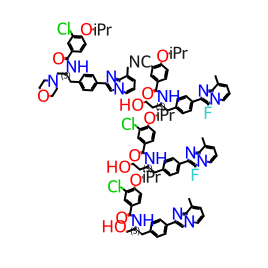 Cc1cccn2c(F)c(-c3ccc(C[C@@H](CCO)NC(=O)c4ccc(OC(C)C)c(C#N)c4)cc3)nc12.Cc1cccn2c(F)c(-c3ccc(C[C@@H](CCO)NC(=O)c4ccc(OC(C)C)c(Cl)c4)cc3)nc12.Cc1cccn2cc(-c3ccc(C[C@@H](CN4CCOCC4)NC(=O)c4ccc(OC(C)C)c(Cl)c4)cc3)nc12.Cc1cccn2cc(-c3ccc(C[C@@H](CO)NC(=O)c4ccc(OC(C)C)c(Cl)c4)cc3)nc12